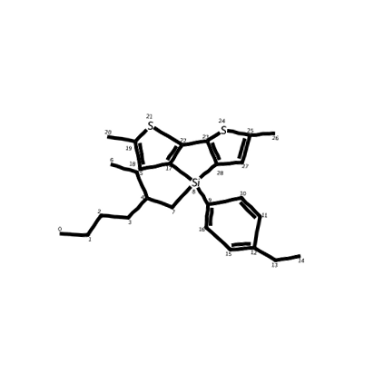 CCCCC(CC)C[Si]1(c2ccc(CC)cc2)c2cc(C)sc2-c2sc(C)cc21